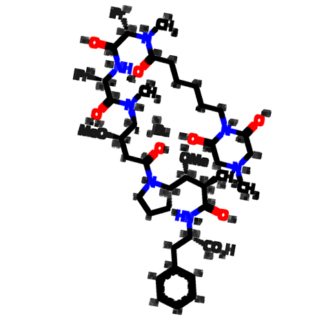 CC[C@H](C)[C@@H]([C@@H](CC(=O)N1CCC[C@H]1[C@H](OC)[C@@H](C)C(=O)N[C@@H](Cc1ccccc1)C(=O)O)OC)N(C)C(=O)[C@@H](NC(=O)[C@H](C(C)C)N(C)C(=O)CCCCCN1C(=O)CN(C)CC1=O)C(C)C